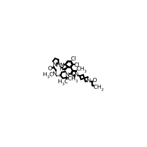 C=CC(=O)N1CC2(CC(n3nc(N4CC[C@@H](CN(C)CC(=O)N5CCCC5)CC4(C)C)c(-c4c(Cl)c(Cl)cc5[nH]ncc45)c3C)C2)C1